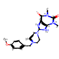 CCOc1ccc(CN2CCN(c3nc4c(=O)n(C)c(=O)n(C)c4[nH]3)CC2)cc1